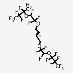 CC(F)(OC(F)C(F)(F)OC/C=C/COC(F)(F)C(F)OC(F)(F)C(F)(F)C(F)(F)F)C(F)(F)C(F)(F)F